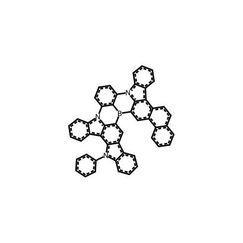 c1ccc(-n2c3ccccc3c3cc4c5c(c6ccccc6n5-c5cccc6c5B4c4cc5c7ccccc7ccc5c5c7ccccc7n-6c45)c32)cc1